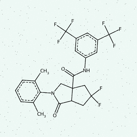 Cc1cccc(C)c1N1CC2(C(=O)Nc3cc(C(F)(F)F)cc(C(F)(F)F)c3)CC(F)(F)CC2C1=O